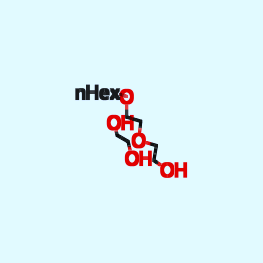 CCCCCCOCCOCCO.OCCO